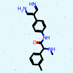 CNC(C(=O)Nc1ccc(/C(C=N)=C/N)cc1)c1cccc(C)c1